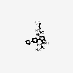 CCCCNC(=O)NN1Cc2n[nH]c(NC(C)=O)c2C1c1ccc(N2CCCC2)cc1